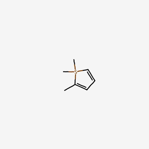 CC1=CC=CS1(C)C